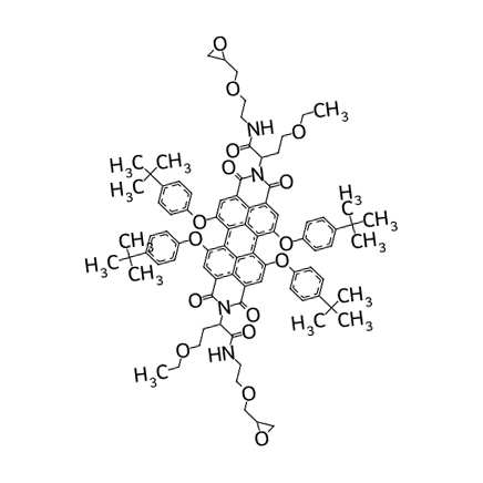 CCOCCC(C(=O)NCCOCC1CO1)N1C(=O)c2cc(Oc3ccc(C(C)(C)C)cc3)c3c4c(Oc5ccc(C(C)(C)C)cc5)cc5c6c(cc(Oc7ccc(C(C)(C)C)cc7)c(c7c(Oc8ccc(C(C)(C)C)cc8)cc(c2c37)C1=O)c64)C(=O)N(C(CCOCC)C(=O)NCCOCC1CO1)C5=O